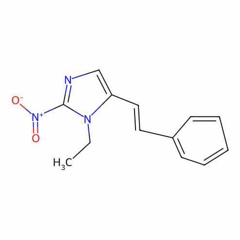 CCn1c(C=Cc2ccccc2)cnc1[N+](=O)[O-]